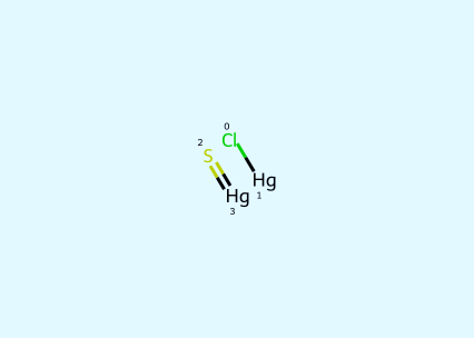 [Cl][Hg].[S]=[Hg]